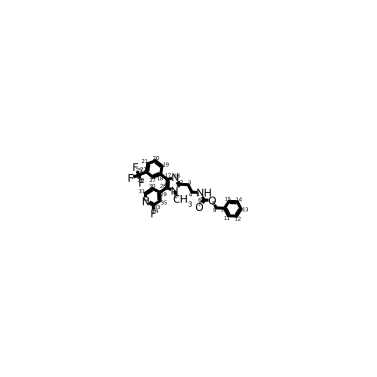 Cn1c(CCNC(=O)OCc2ccccc2)nc(-c2cccc(C(F)(F)F)c2)c1-c1ccnc(F)c1